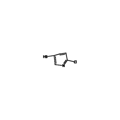 Sc1ccc(Cl)nc1